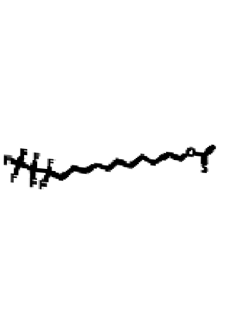 CC(=S)OCCCCCCCCCCCC(F)(F)C(F)(F)C(F)(F)F